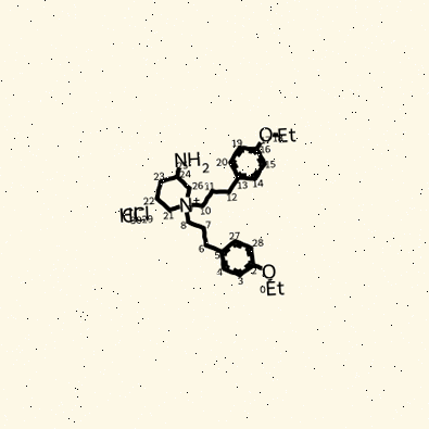 CCOc1ccc(CCC[N+]2(CCCc3ccc(OCC)cc3)CCCC(N)C2)cc1.Cl.[Cl-]